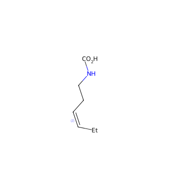 CC/C=C\CCNC(=O)O